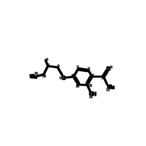 CC(COc1ccc(C(=O)C(C)(C)C)c(O)c1)CC(C)(C)C